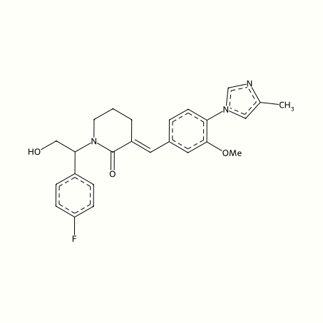 COc1cc(C=C2CCCN(C(CO)c3ccc(F)cc3)C2=O)ccc1-n1cnc(C)c1